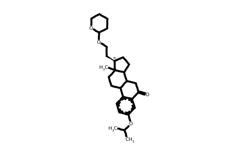 CC(C)Oc1ccc2c(c1)C(=O)CC1C2CCC2(C)C1CC[C@@H]2CCOC1CCCCO1